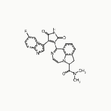 CN(C)C(=O)C1Cc2cccc3c2N1C=CN=C3C1=C(c2cnc3ccc(F)cn23)C(=O)NC1=O